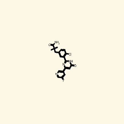 CC(C)(Cc1ccc(Cl)c(-c2nc(-c3cncc(F)c3)cc(=O)[nH]2)c1)C(N)=O